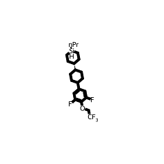 CCC[Si@H]1CC[C@H](C2CCC(c3cc(F)c(OCC(F)(F)F)c(F)c3)CC2)CC1